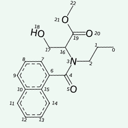 CCCN(C(=O)c1cccc2ccccc12)C(CO)C(=O)OC